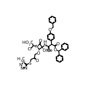 CO[C@]1(NC(=O)C(C(=O)OC(c2ccccc2)c2ccccc2)c2ccc(OCc3ccccc3)cc2)C(=O)N(C(Cl)C(=O)O)[C@H]1OCC(=O)CSc1nnnn1C